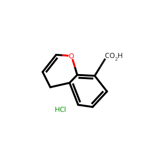 Cl.O=C(O)c1cccc2c1OC=CC2